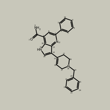 NC(=O)c1cc(-c2ccccc2)nc2c(C3=CCN(Cc4ccccc4)CC3)c[nH]c12